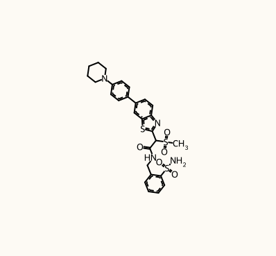 CS(=O)(=O)C(C(=O)NCc1ccccc1S(N)(=O)=O)c1nc2ccc(-c3ccc(N4CCCCC4)cc3)cc2s1